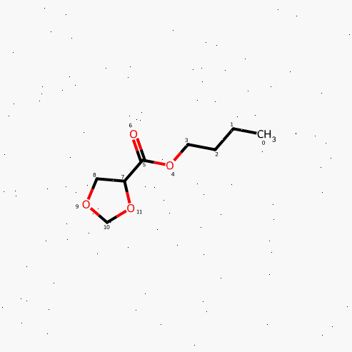 CCCCOC(=O)C1CO[CH]O1